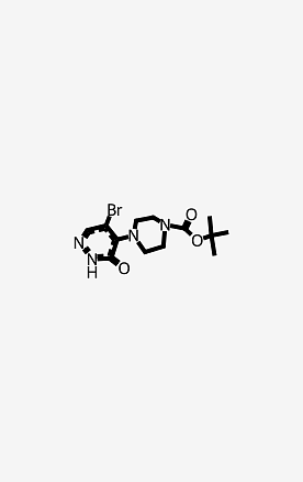 CC(C)(C)OC(=O)N1CCN(c2c(Br)cn[nH]c2=O)CC1